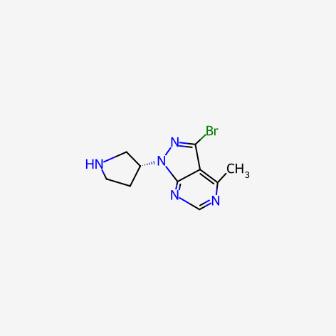 Cc1ncnc2c1c(Br)nn2[C@@H]1CCNC1